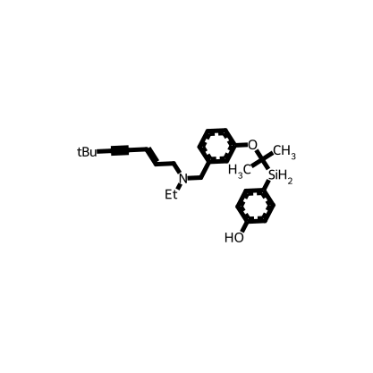 CCN(CC=CC#CC(C)(C)C)Cc1cccc(OC(C)(C)[SiH2]c2ccc(O)cc2)c1